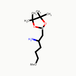 COCCCC(N)CB1OC(C)(C)C(C)(C)O1